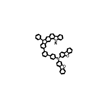 C[SiH]1c2ccccc2-c2ccc3cc4c(cc3c21)-c1cc(-c2cccc(-c3ccc(N(c5ccc6c(c5)oc5ccccc56)c5ccc6c(c5)oc5ccccc56)cc3)c2)ccc1C4c1ccccc1